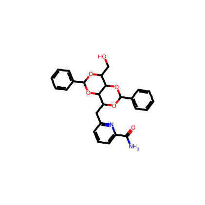 NC(=O)c1cccc(CC2OC(c3ccccc3)OC3C(CO)OC(c4ccccc4)OC23)n1